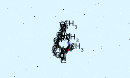 CO[C@H]1/C=C/C[C@H](C)C[S@@](=O)(NC(=O)c2cc3n(c2)C[C@@H](C)OC3)=NC(=O)c2ccc3c(c2)N(Cc2ccc(Cl)cc2CCCCO3)C[C@@H]2CC[C@H]21